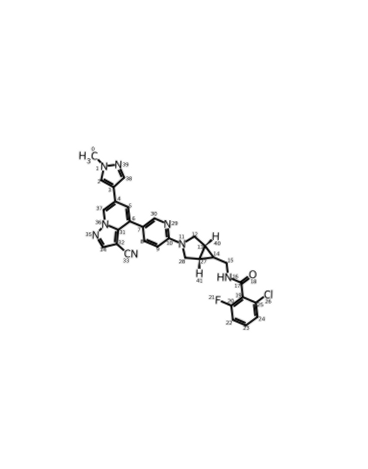 Cn1cc(-c2cc(-c3ccc(N4C[C@@H]5C(CNC(=O)c6c(F)cccc6Cl)[C@@H]5C4)nc3)c3c(C#N)cnn3c2)cn1